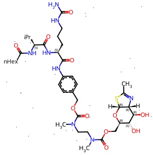 CCCCCCC(=O)N[C@H](C(=O)N[C@@H](CCCNC(N)=O)C(=O)Nc1ccc(COC(=O)N(C)CCN(C)C(=O)OC[C@H]2O[C@@H]3SC(C)=N[C@@H]3[C@@H](O)[C@@H]2O)cc1)C(C)C